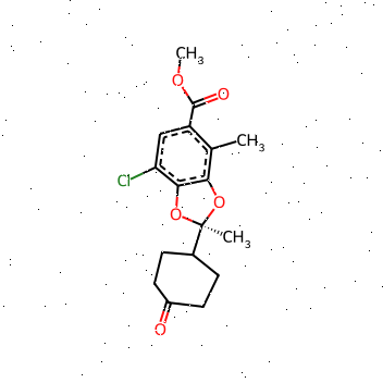 COC(=O)c1cc(Cl)c2c(c1C)O[C@@](C)(C1CCC(=O)CC1)O2